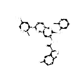 Cc1ccccc1Nc1nc2ccc(-c3cc(N)cnc3C)nc2cc1NC(=O)c1nsc2ccc(F)cc12